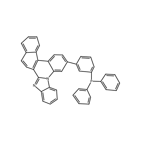 c1ccc(P(c2ccccc2)c2cccc(-c3ccc4c5c6ccccc6ccc5c5nc6ccccc6n5c4c3)c2)cc1